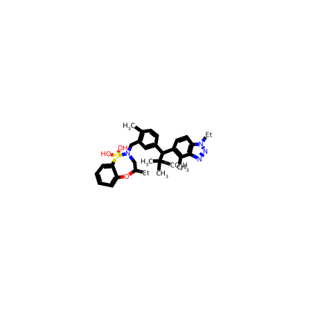 CCC1CN(Cc2cc(C(c3ccc4c(nnn4CC)c3C)C(C)(C)C(=O)O)ccc2C)S(O)(O)c2ccccc2O1